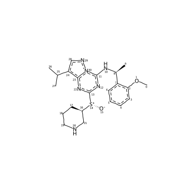 COc1ccccc1[C@H](C)Nc1nc([S@+]([O-])[C@@H]2CCCNC2)nc2c(C(C)C)cnn12